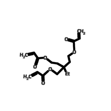 C=CC(=O)OCCC(CC)(CCOC(=O)C=C)COC(=O)C=C